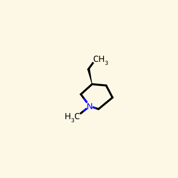 CC[C@H]1CCCN(C)C1